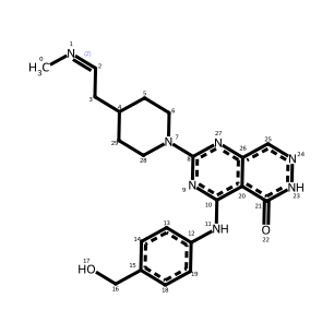 C/N=C\CC1CCN(c2nc(Nc3ccc(CO)cc3)c3c(=O)[nH]ncc3n2)CC1